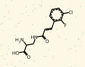 NC(CNC(=O)/C=C/c1cccc(Cl)c1F)C(=O)O